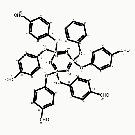 O=Cc1ccc(OP2(Oc3ccccc3)=NP(Oc3ccc(C=O)cc3)(Oc3ccc(C=O)cc3)=NP(Oc3ccc(C=O)cc3)(Oc3ccc(C=O)cc3)=N2)cc1